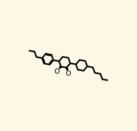 CCCCCC1CCC(C2CCC(c3ccc(CCC)cc3)C(=O)C2=O)CC1